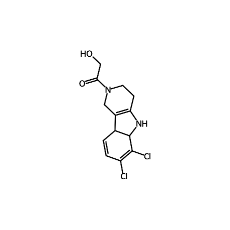 O=C(CO)N1CCC2=C(C1)C1C=CC(Cl)=C(Cl)C1N2